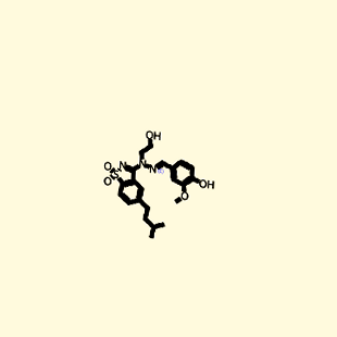 COc1cc(/C=N/N(CCO)C2=NS(=O)(=O)c3ccc(CCC(C)C)cc32)ccc1O